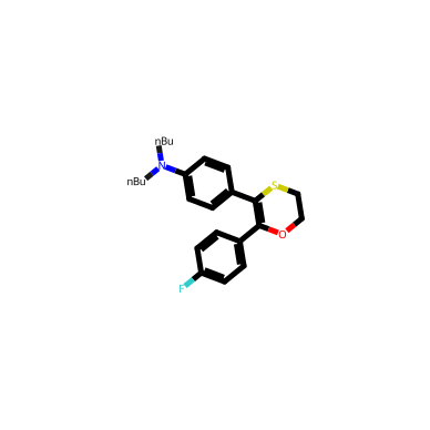 CCCCN(CCCC)c1ccc(C2=C(c3ccc(F)cc3)OCCS2)cc1